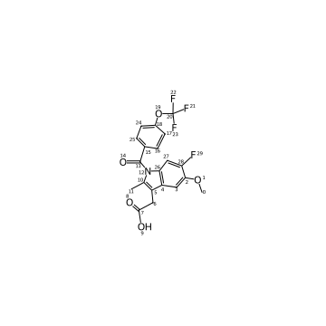 COc1cc2c(CC(=O)O)c(C)n(C(=O)c3ccc(OC(F)(F)F)cc3)c2cc1F